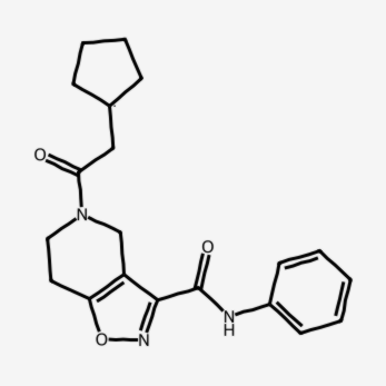 O=C(Nc1ccccc1)c1noc2c1CN(C(=O)C[C]1CCCC1)CC2